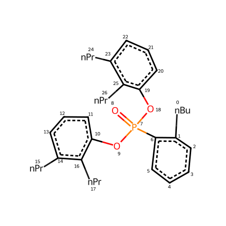 CCCCc1ccccc1P(=O)(Oc1cccc(CCC)c1CCC)Oc1cccc(CCC)c1CCC